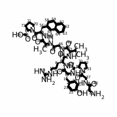 CC(C)[C@@H](NC(=O)[C@H](CCCNC(=N)N)NC(=O)[C@@H](Cc1ccc(O)cc1)NC(=O)[C@@H]1CCCN1C(=O)CNC(=O)CN)C(=O)NCC(=O)N[C@@H](C)C(=O)N[C@H](Cc1ccc2ccccc2c1)C(=O)N1CCC[C@H]1C(=O)O